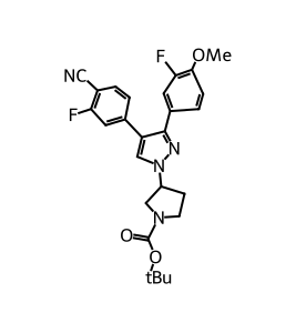 COc1ccc(-c2nn(C3CCN(C(=O)OC(C)(C)C)C3)cc2-c2ccc(C#N)c(F)c2)cc1F